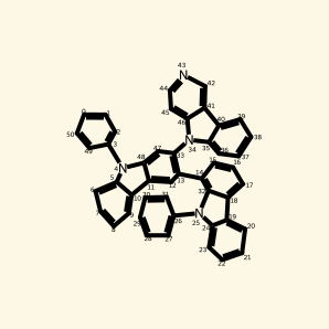 c1ccc(-n2c3ccccc3c3cc(-c4cccc5c6ccccc6n(-c6ccccc6)c45)c(-n4c5ccccc5c5cnccc54)cc32)cc1